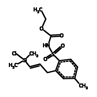 CCOC(=O)NS(=O)(=O)c1ccc(C)cc1CC=C[Si](C)(C)Cl